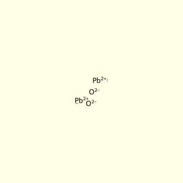 [O-2].[O-2].[Pb+2].[Pb+2]